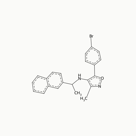 Cc1noc(-c2ccc(Br)cc2)c1NC(C)c1ccc2ccccc2c1